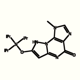 CC(C)[Si](Oc1cc2nc(=O)c3ncn(C)c3n2[nH]1)(C(C)C)C(C)C